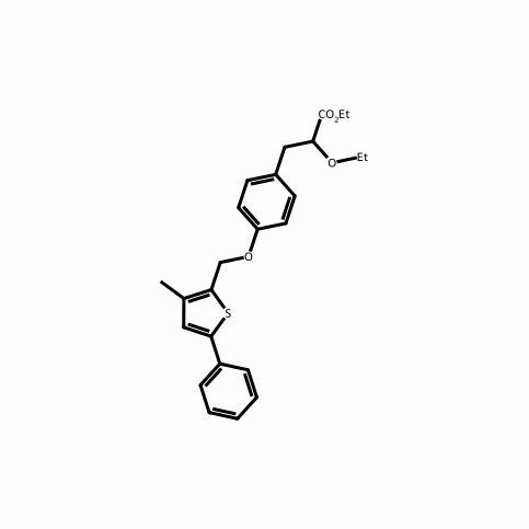 CCOC(=O)C(Cc1ccc(OCc2sc(-c3ccccc3)cc2C)cc1)OCC